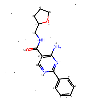 Nc1nc(-c2ccccc2)ncc1C(=O)NCC1CCCO1